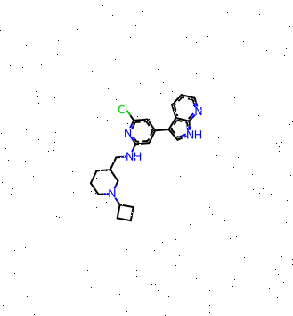 Clc1cc(-c2c[nH]c3ncccc23)cc(NCC2CCCN(C3CCC3)C2)n1